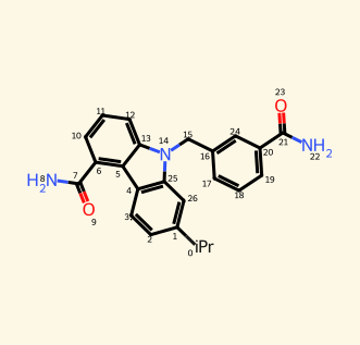 CC(C)c1c[c]c2c3c(C(N)=O)cccc3n(Cc3cccc(C(N)=O)c3)c2c1